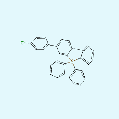 Clc1ccc(-c2ccc3c(c2)S(c2ccccc2)(c2ccccc2)c2ccccc2-3)cc1